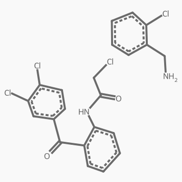 NCc1ccccc1Cl.O=C(CCl)Nc1ccccc1C(=O)c1ccc(Cl)c(Cl)c1